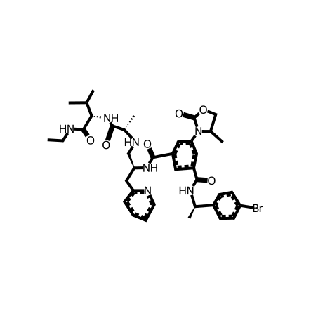 CCNC(=O)[C@@H](NC(=O)[C@H](C)NC[C@H](Cc1ccccn1)NC(=O)c1cc(C(=O)N[C@H](C)c2ccc(Br)cc2)cc(N2C(=O)OCC2C)c1)C(C)C